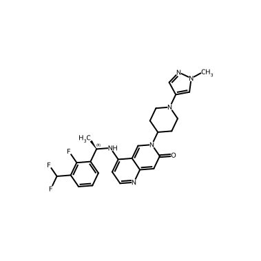 C[C@@H](Nc1ccnc2cc(=O)n(C3CCN(c4cnn(C)c4)CC3)cc12)c1cccc(C(F)F)c1F